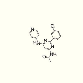 CC(=O)Nc1cc(Nc2ccncc2)nc(-c2cccc(Cl)c2)n1